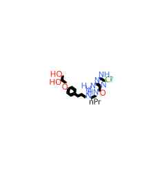 CCC[C@@H](CNC(=O)c1nc(Cl)c(N)nc1N)NCCCc1ccc(OC[C@@H](O)CO)cc1